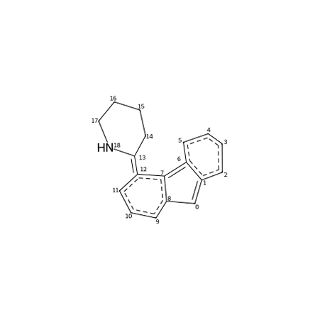 C1=c2ccccc2=c2c1cccc2=C1CCCCN1